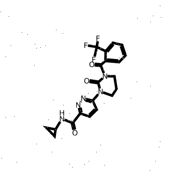 O=C(NC1CC1)c1ccc(N2CCCN(C(=O)c3ccccc3C(F)(F)F)C2=O)nn1